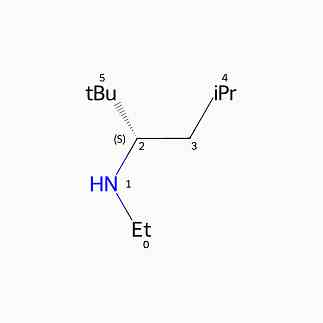 CCN[C@@H](CC(C)C)C(C)(C)C